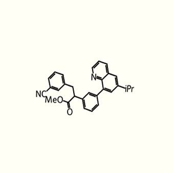 COC(=O)C(Cc1cccc(C#N)c1)c1cccc(-c2cc(C(C)C)cc3cccnc23)c1